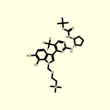 CC(C)(C)OC(=O)N[C@H]1CCC[C@@H]1Nc1ncc(C(F)(F)F)c(-c2cn(COCC[Si](C)(C)C)c3c(Cl)c(O)ccc23)n1